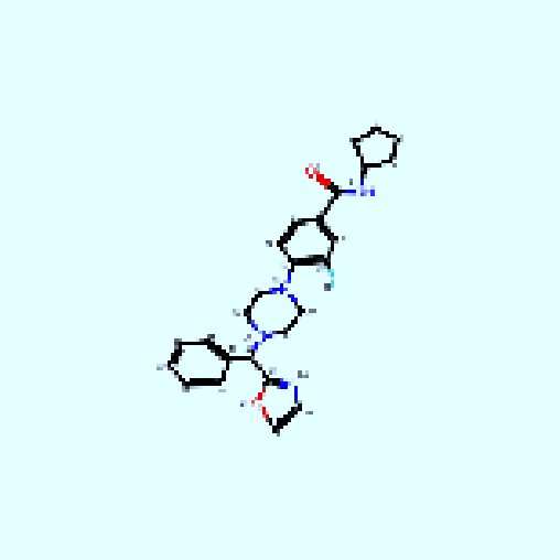 O=C(NC1CCCC1)c1ccc(N2CCN(C(c3ccccc3)c3ncco3)CC2)c(F)c1